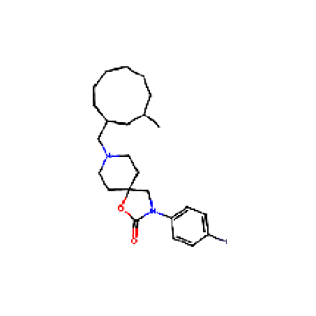 CC1CCCCCCC(CN2CCC3(CC2)CN(c2ccc(I)cc2)C(=O)O3)C1